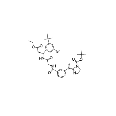 CCOC(=O)C[C@H](NC(=O)CNC(=O)c1cccc(NC2=NCCN2C(=O)OC(C)(C)C)c1)c1cc(Br)cc(C(C)(C)C)c1